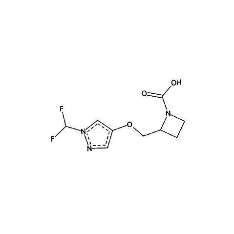 O=C(O)N1CCC1COc1cnn(C(F)F)c1